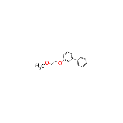 COCCOc1cccc(-c2ccccc2)c1